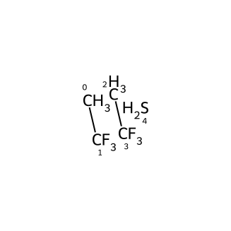 CC(F)(F)F.CC(F)(F)F.S